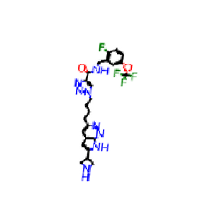 O=C(NCc1cc(OC(F)(F)F)ccc1F)c1cn(CCCCc2cc3cc(C4CNC4)[nH]c3nn2)nn1